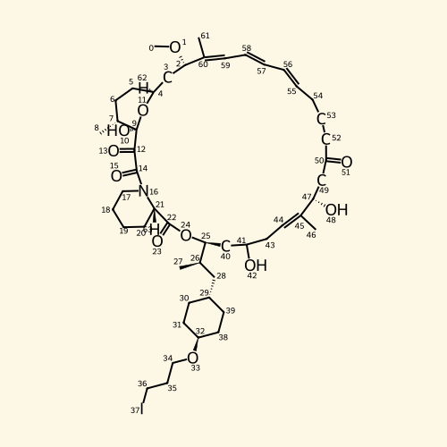 CO[C@H]1C[C@@H]2CC[C@@H](C)[C@@](O)(O2)C(=O)C(=O)N2CCCC[C@H]2C(=O)O[C@H]([C@H](C)C[C@H]2CC[C@H](OCCCI)CC2)CC(O)C/C=C(\C)[C@@H](O)CC(=O)CCC/C=C/C=C/C=C/1C